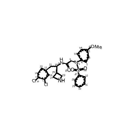 COc1ccc(N(CC(=O)NC(Cc2ccc(Cl)c(Cl)c2)C2CNC2)S(=O)(=O)c2ccccc2)cc1